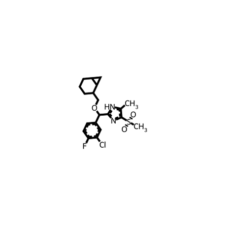 Cc1[nH]c(C(OCC2CCCC3CC23)c2ccc(F)c(Cl)c2)nc1S(C)(=O)=O